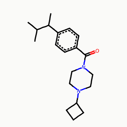 CC(C)C(C)c1ccc(C(=O)N2CCN(C3CCC3)CC2)cc1